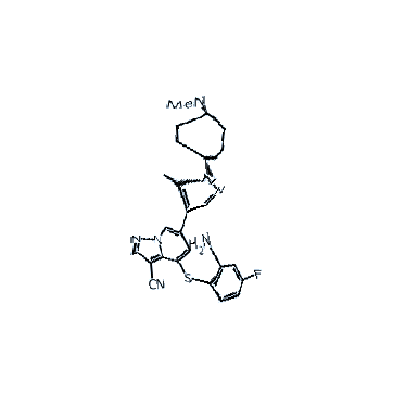 CN[C@H]1CC[C@@H](n2ncc(-c3cc(Sc4ccc(F)cc4N)c4c(C#N)cnn4c3)c2C)CC1